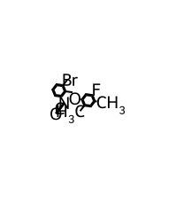 Cc1cc(C)c(OCc2c(Br)cccc2N=C=O)cc1F